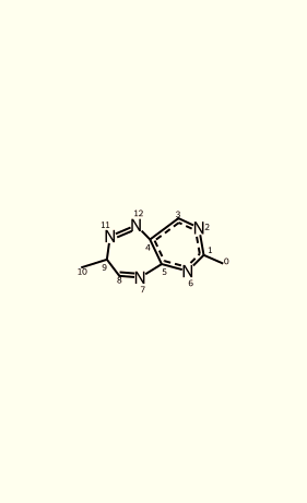 Cc1ncc2c(n1)N=CC(C)N=N2